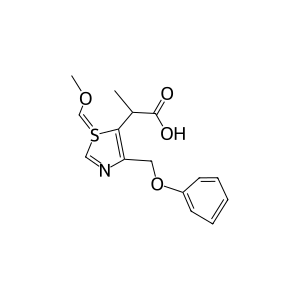 COC=S1C=NC(COc2ccccc2)=C1C(C)C(=O)O